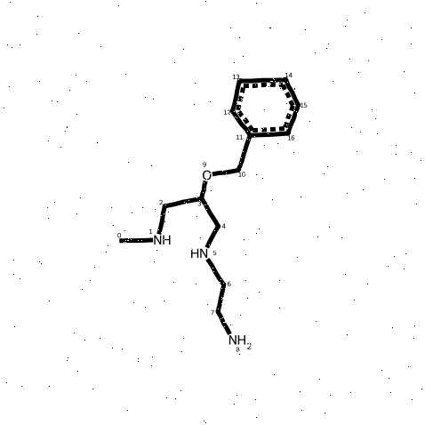 CNCC(CNCCN)OCc1ccccc1